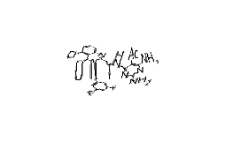 CC(=O)c1c(N)nc(N)nc1NC(C)c1nc2cccc(Cl)c2c(=O)n1-c1cc(F)cc(F)c1